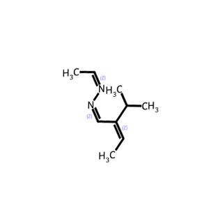 C\C=N/N=C\C(=C/C)C(C)C